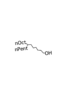 CCCCCCCCC(CCCCC)CCCCCCO